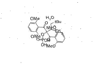 COc1cccc(OC)c1C(=O)C(OP(=O)(O)O)(C(=O)c1c(OC)cccc1OC)C(C)CC(C)(C)C.O